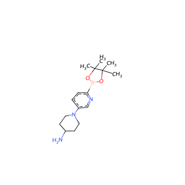 CC1(C)OB(c2ccc(N3CCC(N)CC3)cn2)OC1(C)C